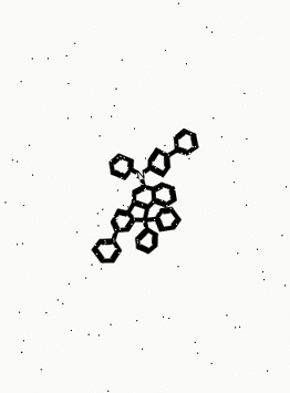 c1ccc(-c2ccc(N(c3ccccc3)c3cc4c(c5ccccc35)C(c3ccccc3)(c3ccccc3)c3cc(-c5ccccc5)ccc3-4)cc2)cc1